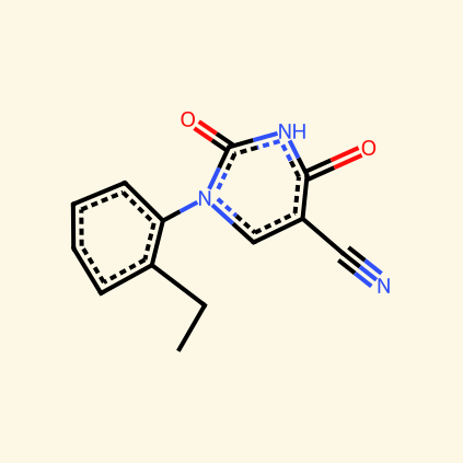 CCc1ccccc1-n1cc(C#N)c(=O)[nH]c1=O